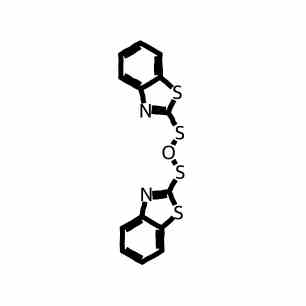 c1ccc2sc(SOSc3nc4ccccc4s3)nc2c1